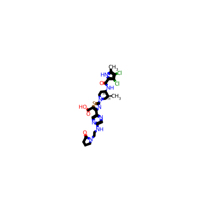 Cc1[nH]c(C(=O)N[C@@H]2CCN(c3nc(-c4cnc(NCCN5CCCC5=O)cn4)c(C(=O)O)s3)C[C@@H]2C)c(Cl)c1Cl